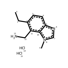 CCc1ccc2ncn(C)c2c1CN.Cl.Cl